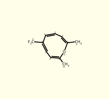 Cc1cccc(C(F)(F)F)ccc(C)o1